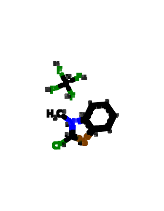 C[n+]1c(Cl)sc2ccccc21.F[B-](F)(F)F